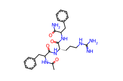 CC(=O)NC(Cc1ccccc1)C(=O)N[C@@H](CCCNC(=N)N)C(=O)NC(Cc1ccccc1)C(N)=O